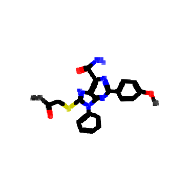 CCOc1ccc(-c2nc(C(N)=O)c3nc(SCC(=O)NC)n(-c4ccccc4)c3n2)cc1